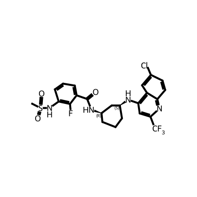 CS(=O)(=O)Nc1cccc(C(=O)N[C@@H]2CCC[C@H](Nc3cc(C(F)(F)F)nc4ccc(Cl)cc34)C2)c1F